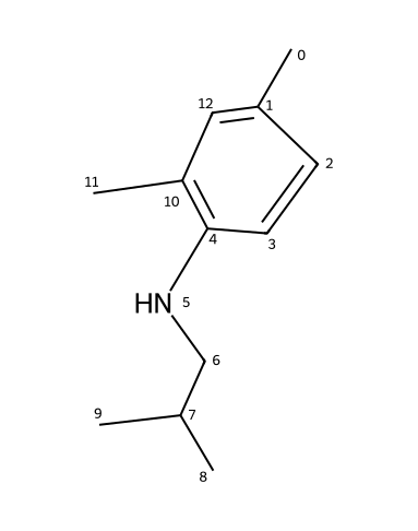 Cc1ccc(NCC(C)C)c(C)c1